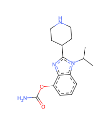 CC(C)n1c(C2CCNCC2)nc2c(OC(N)=O)cccc21